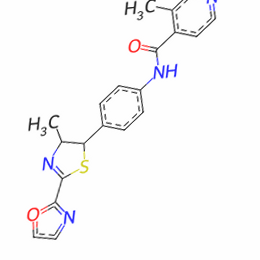 Cc1cnccc1C(=O)Nc1ccc(C2SC(c3ncco3)=NC2C)cc1